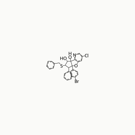 OC1C(SCc2ccccc2)C(c2ccccc2)C2(c3ccc(Br)cc3)Oc3cc(Cl)cnc3C12O